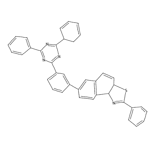 C1=CCC(c2nc(-c3ccccc3)nc(-c3cccc(-c4ccc5c(c4)C=CC4SC(c6ccccc6)=NC54)c3)n2)C=C1